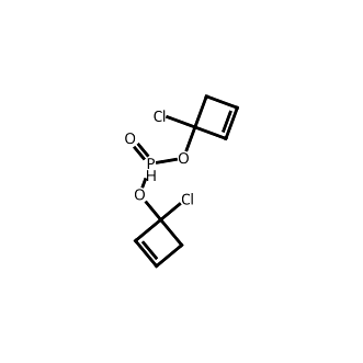 O=[PH](OC1(Cl)C=CC1)OC1(Cl)C=CC1